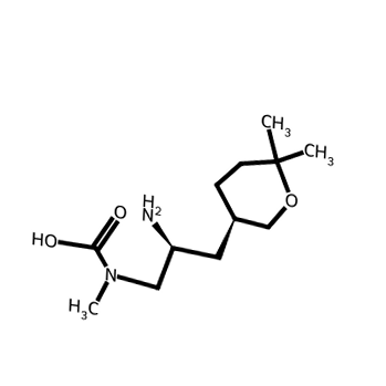 CN(C[C@@H](N)C[C@H]1CCC(C)(C)OC1)C(=O)O